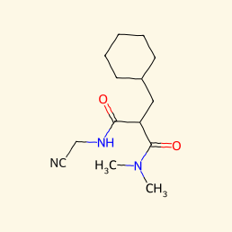 CN(C)C(=O)C(CC1CCCCC1)C(=O)NCC#N